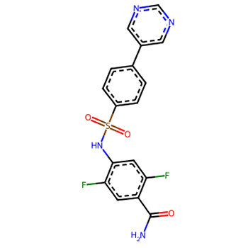 NC(=O)c1cc(F)c(NS(=O)(=O)c2ccc(-c3cncnc3)cc2)cc1F